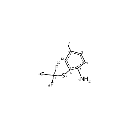 Cc1ccc(N)c(SC(F)(F)F)c1